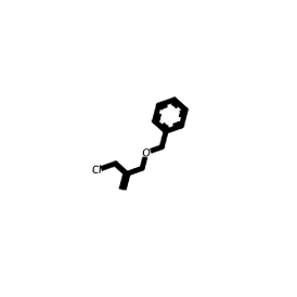 C=C(CCl)COCc1ccccc1